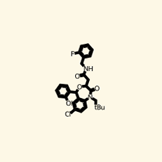 CC(C)(C)CN1C(=O)C(CC(=O)NCc2ccccc2F)OC(c2ccccc2O)c2cc(Cl)ccc21